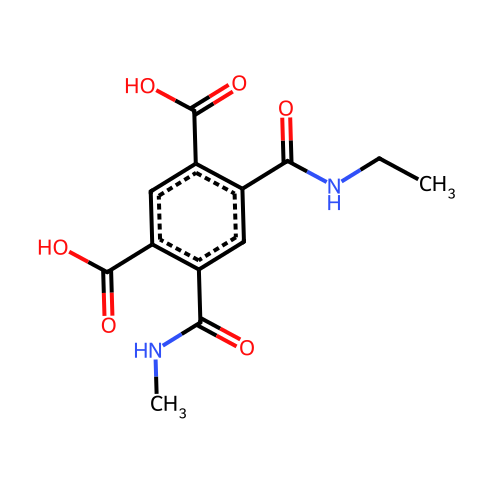 CCNC(=O)c1cc(C(=O)NC)c(C(=O)O)cc1C(=O)O